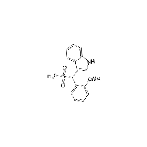 COc1ccccc1C(c1c[nH]c2ccccc12)S(C)(=O)=O